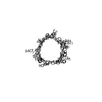 CCCC[C@H]1C(=O)N2CCC[C@@H]2C(=O)N[C@@H](CC(=O)O)C(=O)N[C@@H](C(C)(C)C)C(=O)N(C)[C@@H](Cc2ccccc2)C(=O)N[C@@H](Cc2ccc(O)cc2)C(=O)N2CCOC[C@@H]2C(=O)N[C@@H](Cc2c[nH]c3ccccc23)C(=O)N[C@@H](Cc2ccc(O)cc2)C(=O)N[C@@H](CC(C)C)C(=O)N[C@H](C(=O)NCC(N)O)CSCC(=O)N[C@@H](Cc2cc(F)c(F)c(F)c2)C(=O)N(C)[C@@H](Cc2ccccc2)C(=O)N1C